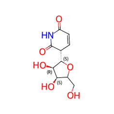 O=C1C=CC([C@@H]2OC(CO)[C@@H](O)[C@H]2O)C(=O)N1